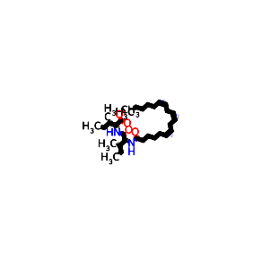 CCCCC/C=C\C/C=C\C/C=C\CCCCC(=O)N[C@H](C(=O)N[C@H](C(=O)OC)[C@@H](C)CC)[C@@H](C)CC